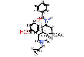 CC(=O)OC1C[C@@H](N(C)C(=O)c2ccccc2)C[C@]2(c3cccc(O)c3)CCN(CC3CC3)C[C@@H]12